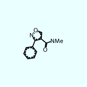 CNC(=O)c1conc1-c1ccccc1